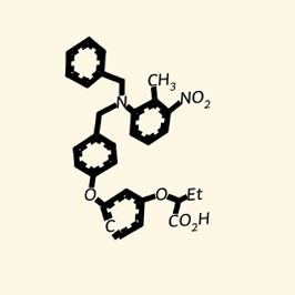 CCC(Oc1cccc(Oc2ccc(CN(Cc3ccccc3)c3cccc([N+](=O)[O-])c3C)cc2)c1)C(=O)O